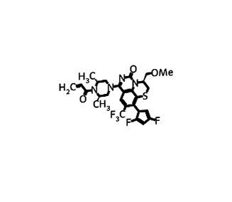 C=CC(=O)N1[C@H](C)CN(c2nc(=O)n3c4c(c(C5C=C(F)C=C5F)c(C(F)(F)F)cc24)SC[C@@H]3COC)C[C@@H]1C